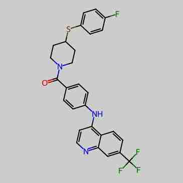 O=C(c1ccc(Nc2ccnc3cc(C(F)(F)F)ccc23)cc1)N1CCC(Sc2ccc(F)cc2)CC1